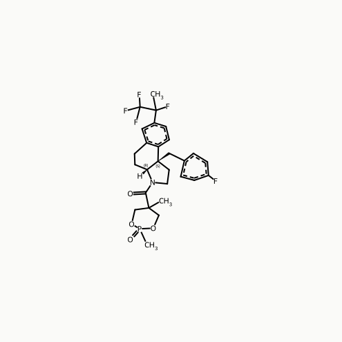 CC1(C(=O)N2CC[C@@]3(Cc4ccc(F)cc4)c4ccc(C(C)(F)C(F)(F)F)cc4CC[C@@H]23)COP(C)(=O)OC1